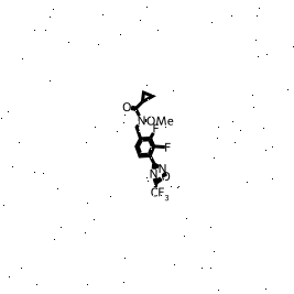 CON(Cc1ccc(-c2noc(C(F)(F)F)n2)c(F)c1F)C(=O)C1CC1